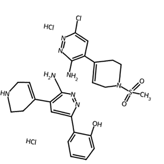 CS(=O)(=O)N1CC=C(c2cc(Cl)nnc2N)CC1.Cl.Cl.Nc1nnc(-c2ccccc2O)cc1C1=CCNCC1